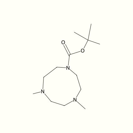 CN1CCN(C)CCN(C(=O)OC(C)(C)C)CC1